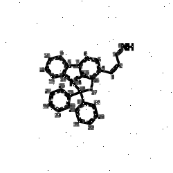 N=C/C=C\c1ccc2c3ccccc3n3c2c1CC3(c1ccccc1)c1ccccc1